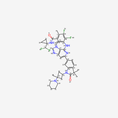 Cc1c(C(=O)NC2(C(F)F)CC2)cc(Nc2nc(-c3ccc4c(c3)N(C3CC(C)(N5CCCCC5)C3)C(=O)C4(C)C)cc3ncn(C(C)C)c23)c(F)c1F